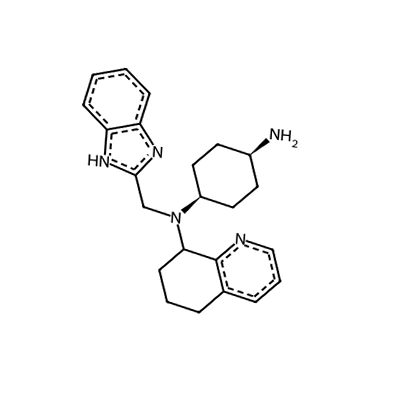 N[C@H]1CC[C@@H](N(Cc2nc3ccccc3[nH]2)C2CCCc3cccnc32)CC1